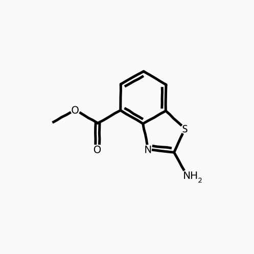 COC(=O)c1cccc2sc(N)nc12